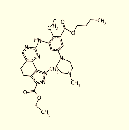 CCCCOC(=O)c1cc(N2CCN(C)CC2)cc(Nc2ncc3c(n2)-c2c(c(C(=O)OCC)nn2C)CC3)c1OC